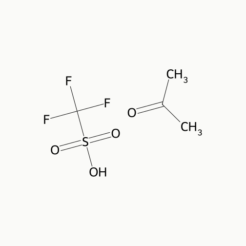 CC(C)=O.O=S(=O)(O)C(F)(F)F